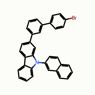 Brc1ccc(-c2cccc(-c3ccc4c5ccccc5n(-c5ccc6ccccc6c5)c4c3)c2)cc1